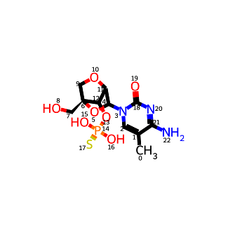 Cc1cn(C2O[C@]3(CO)COC2C3OP(O)(O)=S)c(=O)nc1N